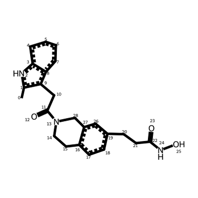 Cc1[nH]c2ccccc2c1CC(=O)N1CCc2ccc(CCC(=O)NO)cc2C1